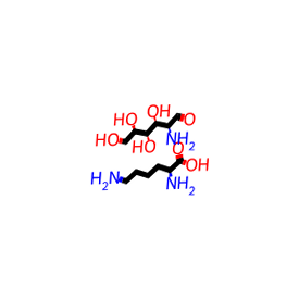 NCCCC[C@H](N)C(=O)O.N[C@@H](C=O)[C@@H](O)[C@H](O)[C@H](O)CO